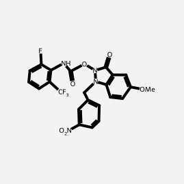 COc1ccc2c(c1)c(=O)n(OC(=O)Nc1c(F)cccc1C(F)(F)F)n2Cc1cccc([N+](=O)[O-])c1